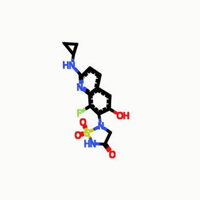 O=C1CN(c2c(O)cc3ccc(NC4CC4)nc3c2F)S(=O)(=O)N1